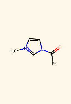 CCC(=O)n1cc[n+](C)c1